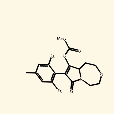 CCc1cc(C)cc(CC)c1C1=C(OC(=O)OC)C2CCOCCN2C1=O